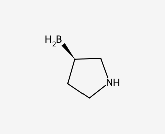 B[C@@H]1CCNC1